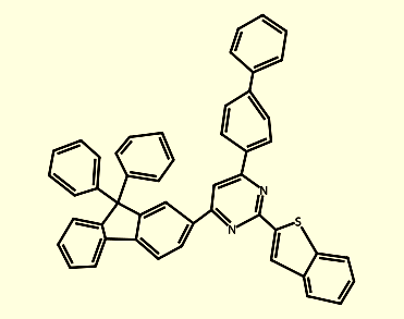 c1ccc(-c2ccc(-c3cc(-c4ccc5c(c4)C(c4ccccc4)(c4ccccc4)c4ccccc4-5)nc(-c4cc5ccccc5s4)n3)cc2)cc1